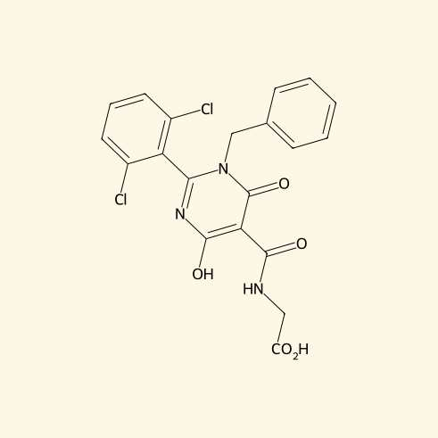 O=C(O)CNC(=O)c1c(O)nc(-c2c(Cl)cccc2Cl)n(Cc2ccccc2)c1=O